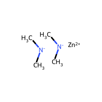 C[N-]C.C[N-]C.[Zn+2]